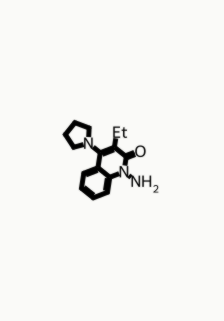 CCc1c(N2CCCC2)c2ccccc2n(N)c1=O